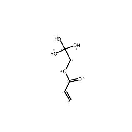 C=CC(=O)OCC(O)(O)O